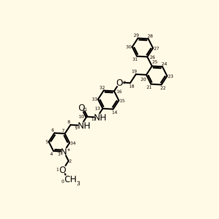 COC[n+]1cccc(CNC(=O)Nc2ccc(OCCc3ccccc3-c3ccccc3)cc2)c1